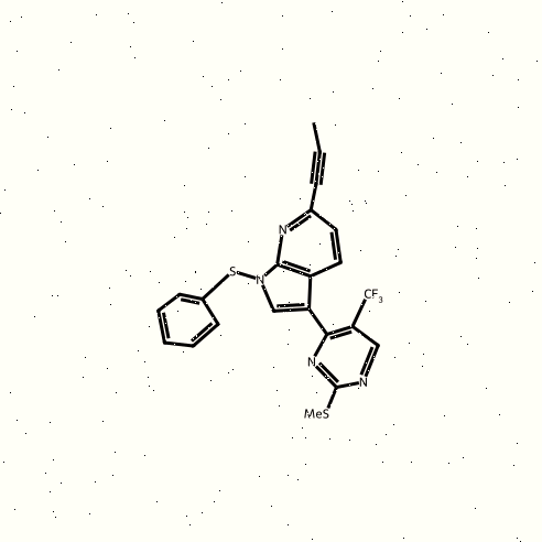 CC#Cc1ccc2c(-c3nc(SC)ncc3C(F)(F)F)cn(Sc3ccccc3)c2n1